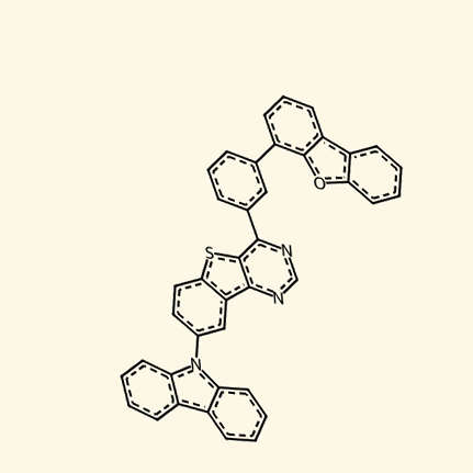 c1cc(-c2cccc3c2oc2ccccc23)cc(-c2ncnc3c2sc2ccc(-n4c5ccccc5c5ccccc54)cc23)c1